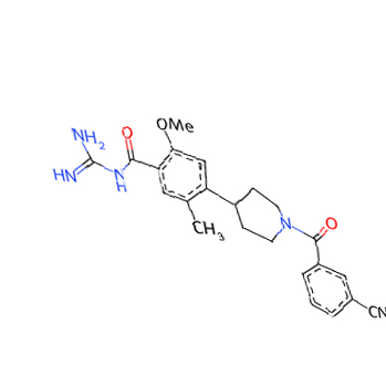 COc1cc(C2CCN(C(=O)c3cccc(C#N)c3)CC2)c(C)cc1C(=O)NC(=N)N